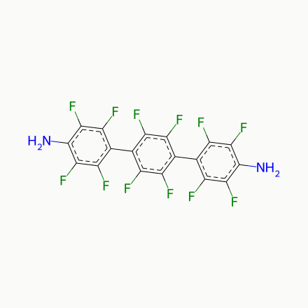 Nc1c(F)c(F)c(-c2c(F)c(F)c(-c3c(F)c(F)c(N)c(F)c3F)c(F)c2F)c(F)c1F